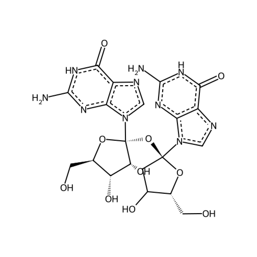 Nc1nc2c(ncn2[C@@]2(O[C@@]3(n4cnc5c(=O)[nH]c(N)nc54)O[C@H](CO)[C@@H](O)[C@H]3O)CC(O)[C@@H](CO)O2)c(=O)[nH]1